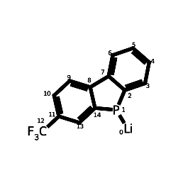 [Li][p]1c2ccccc2c2ccc(C(F)(F)F)cc21